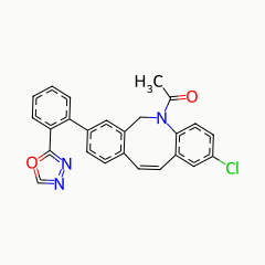 CC(=O)N1Cc2cc(-c3ccccc3-c3nnco3)ccc2C=Cc2cc(Cl)ccc21